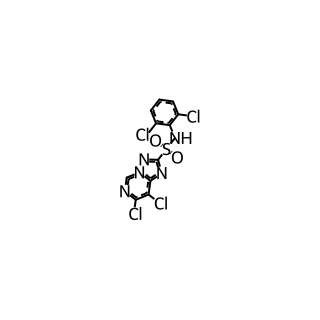 O=S(=O)(Nc1c(Cl)cccc1Cl)c1nc2c(Cl)c(Cl)ncn2n1